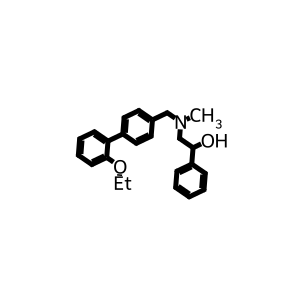 CCOc1ccccc1-c1ccc(CN(C)CC(O)c2ccccc2)cc1